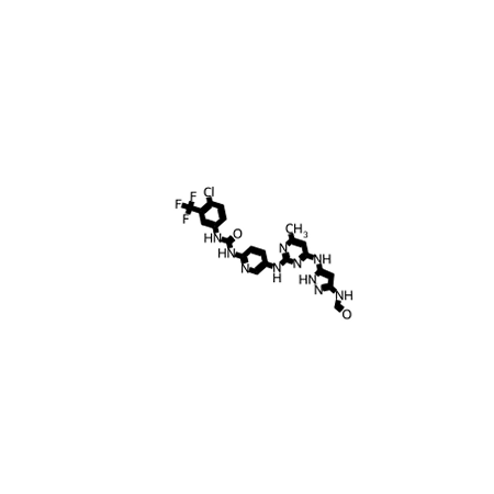 Cc1cc(Nc2cc(NC=O)n[nH]2)nc(Nc2ccc(NC(=O)Nc3ccc(Cl)c(C(F)(F)F)c3)nc2)n1